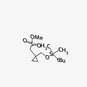 COS(=O)(=O)CC1(CO[Si](C)(C)C(C)(C)C)CC1